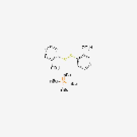 CCCC[PH](CCCC)(CCCC)CCCC.O=C(O)c1ccccc1SSc1ccccc1C(=O)O